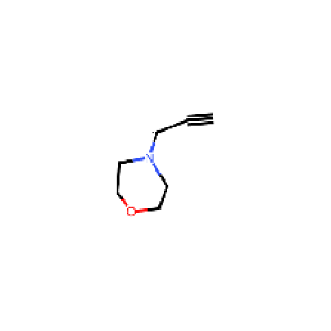 C#C[CH]N1CCOCC1